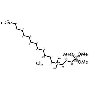 CCCCCCCCCCCCCCCCCCCCCC[N+](C)(C)CCC[Si](OC)(OC)OC.[Cl-]